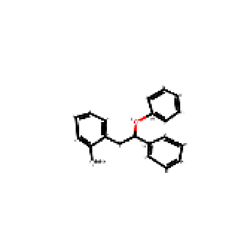 COc1ccccc1CC(Oc1ccccc1)c1ccccc1